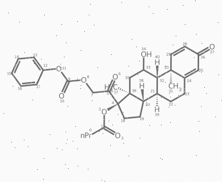 CCCC(=O)O[C@]1(C(=O)COC(=O)Oc2ccccc2)CC[C@H]2[C@@H]3CCC4=CC(=O)C=C[C@]4(C)[C@H]3C(O)C[C@@]21C